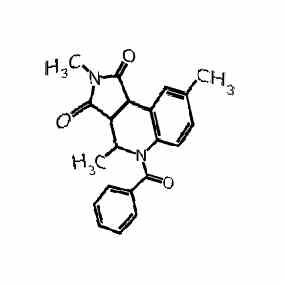 Cc1ccc2c(c1)C1C(=O)N(C)C(=O)C1C(C)N2C(=O)c1ccccc1